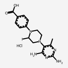 Cc1nc(N)nc(N)c1N1CCN(c2ccc(C(=O)O)cc2)C(I)C1.Cl